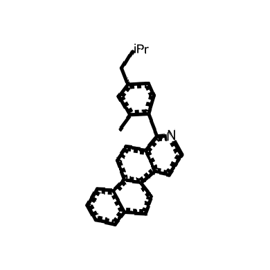 Cc1cc(CC(C)C)ccc1-c1nccc2c1ccc1c3ccccc3ccc21